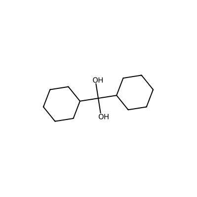 OC(O)(C1CCCCC1)C1CCCCC1